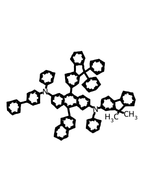 CC1(C)c2ccccc2-c2ccc(N(c3ccccc3)c3ccc4c(-c5ccc6c(c5)C(c5ccccc5)(c5ccccc5)c5ccccc5-6)c5cc(N(c6ccccc6)c6ccc(-c7ccccc7)cc6)ccc5c(-c5ccc6ccccc6c5)c4c3)cc21